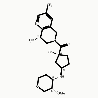 CO[C@@H]1COCC[C@@H]1N[C@@H]1CC[C@@](C(=O)N2Cc3cc(C(F)(F)F)cnc3[C@@H](N)C2)(C(C)C)C1